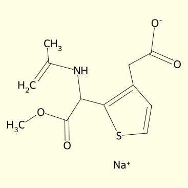 C=C(C)NC(C(=O)OC)c1sccc1CC(=O)[O-].[Na+]